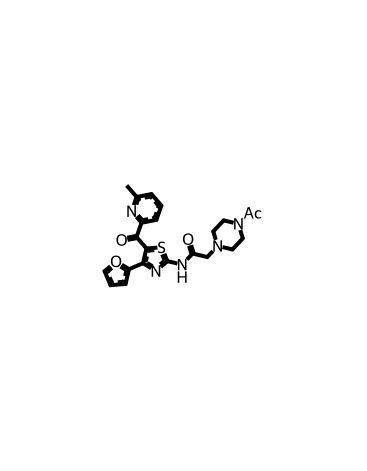 CC(=O)N1CCN(CC(=O)Nc2nc(-c3ccco3)c(C(=O)c3cccc(C)n3)s2)CC1